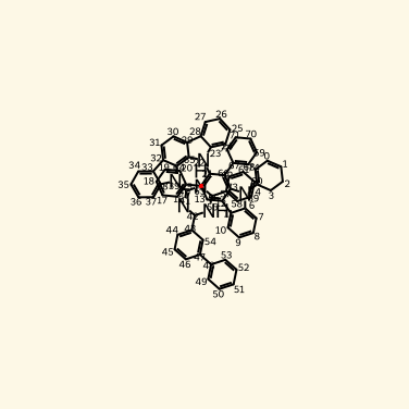 C1=CCCC(n2c3ccccc3c3cc(-c4ccccc4)c(-n4c5ccccc5c5ccc6c7ccccc7n(C7=NC(c8cccc(-c9ccccc9)c8)NC(c8ccccc8)N7)c6c54)c(-c4ccccc4)c32)=C1